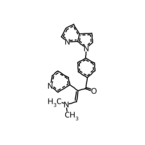 CN(C)/C=C(/C(=O)c1ccc(-n2ccc3cccnc32)cc1)c1cccnc1